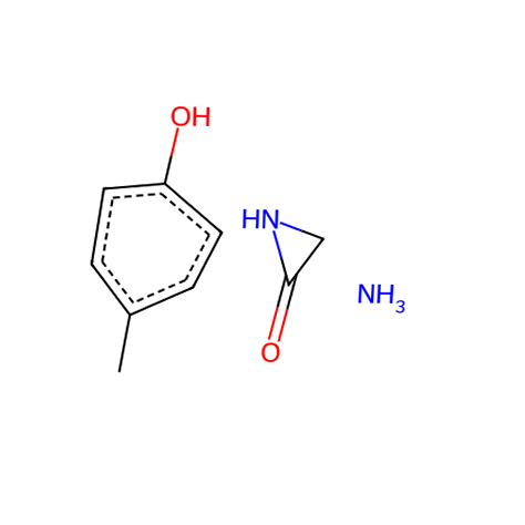 Cc1ccc(O)cc1.N.O=C1CN1